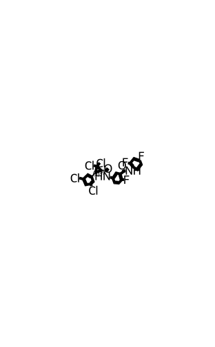 O=C(Nc1ccc(F)cc1F)c1cc(NC(=O)[C@@H]2[C@@H](c3cc(Cl)cc(Cl)c3)C2(Cl)Cl)ccc1F